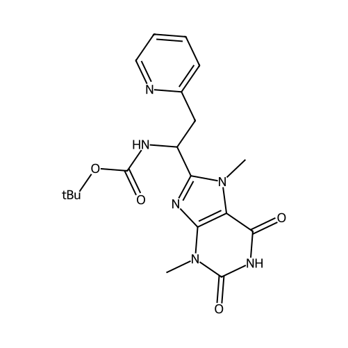 Cn1c(C(Cc2ccccn2)NC(=O)OC(C)(C)C)nc2c1c(=O)[nH]c(=O)n2C